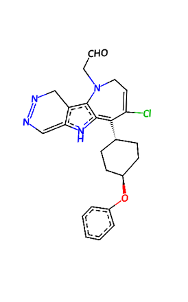 O=CCN1CC=C(Cl)C([C@H]2CC[C@H](Oc3ccccc3)CC2)=c2[nH]c3c(c21)CN=NC=3